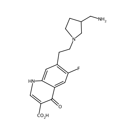 NCC1CCN(CCc2cc3[nH]cc(C(=O)O)c(=O)c3cc2F)C1